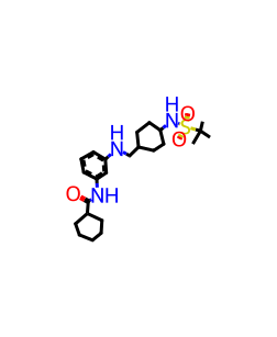 CC(C)(C)S(=O)(=O)NC1CCC(CNc2cccc(NC(=O)C3CCCCC3)c2)CC1